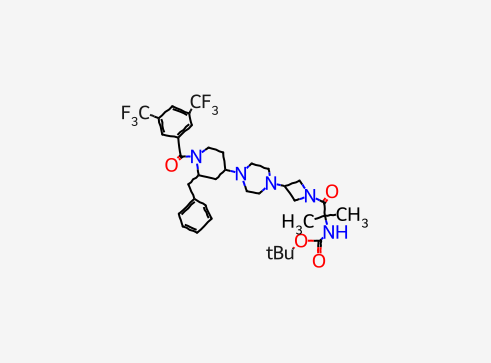 CC(C)(C)OC(=O)NC(C)(C)C(=O)N1CC(N2CCN(C3CCN(C(=O)c4cc(C(F)(F)F)cc(C(F)(F)F)c4)C(Cc4ccccc4)C3)CC2)C1